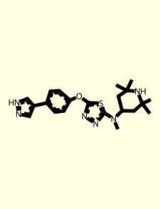 CN(c1nnc(Oc2ccc(-c3cn[nH]c3)cc2)s1)C1CC(C)(C)NC(C)(C)C1